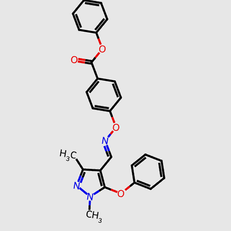 Cc1nn(C)c(Oc2ccccc2)c1C=NOc1ccc(C(=O)Oc2ccccc2)cc1